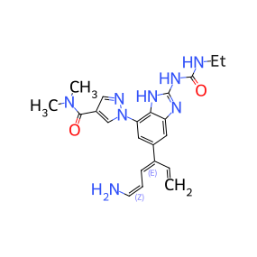 C=C/C(=C\C=C/N)c1cc(-n2cc(C(=O)N(C)C)cn2)c2[nH]c(NC(=O)NCC)nc2c1